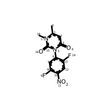 Cc1cc(=O)n(-c2cc(F)c([N+](=O)[O-])cc2F)c(=O)n1C